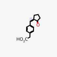 O=C(O)Cc1ccc(/C=C2/CCCC2=O)cc1